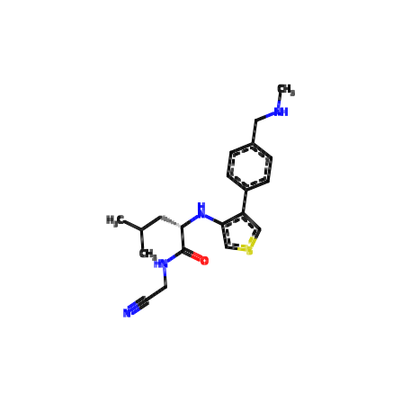 CNCc1ccc(-c2cscc2N[C@@H](CC(C)C)C(=O)NCC#N)cc1